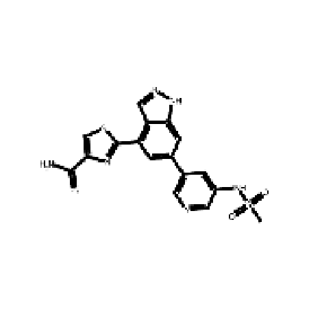 CS(=O)(=O)Nc1cncc(-c2cc(-c3nc(C(N)=O)cs3)c3cn[nH]c3c2)c1